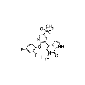 Cn1cc(-c2cc(S(C)(=O)=O)cnc2Oc2ccc(F)cc2F)c2cc[nH]c2c1=O